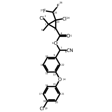 CC1(Cl)C(C(=O)OC(C#N)c2cccc(Oc3ccc(Cl)cc3)c2)C1(Cl)C(F)F